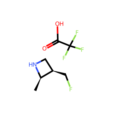 C[C@H]1NC[C@H]1CF.O=C(O)C(F)(F)F